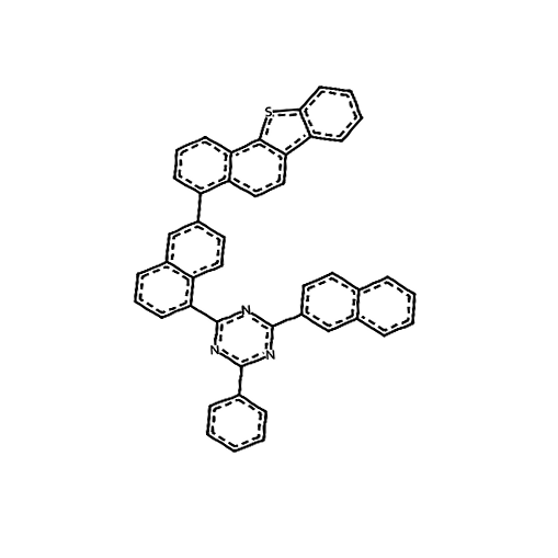 c1ccc(-c2nc(-c3ccc4ccccc4c3)nc(-c3cccc4cc(-c5cccc6c5ccc5c7ccccc7sc65)ccc34)n2)cc1